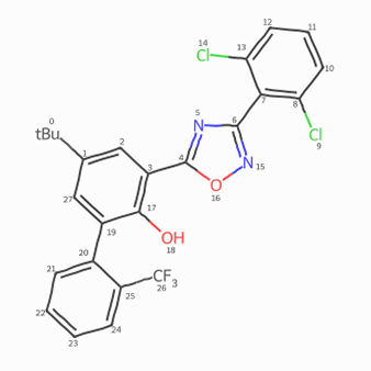 CC(C)(C)c1cc(-c2nc(-c3c(Cl)cccc3Cl)no2)c(O)c(-c2ccccc2C(F)(F)F)c1